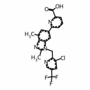 Cc1cc(-c2cccc(C(=O)O)n2)cc2c1nc(C)n2Cc1ncc(C(F)(F)F)cc1Cl